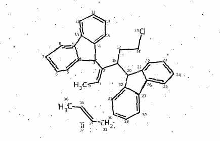 CC=C(C1c2ccccc2-c2ccccc21)C(CCCl)C1c2ccccc2-c2ccccc21.[CH2]C=CC.[Ti]